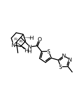 Cc1nnc(-c2ccc(C(=O)N[C@@H]3C4CCN(CC4)[C@H]3C)s2)s1